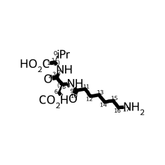 CC(C)[C@H](NC(=O)[C@H](CC(=O)O)NC(=O)CCCCCCN)C(=O)O